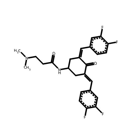 CN(C)CCC(=O)NC1CC(=Cc2ccc(F)c(F)c2)C(=O)C(=Cc2ccc(F)c(F)c2)C1